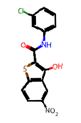 O=C(Nc1cccc(Cl)c1)c1sc2ccc([N+](=O)[O-])cc2c1O